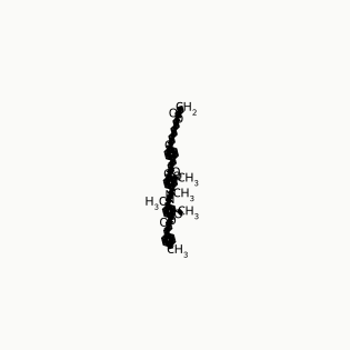 C=CC(=O)OCCCCCCOc1ccc(/C=C/C(=O)Oc2ccc(/C(C)=N/N=C(\C)c3ccc(OC(=O)/C=C/c4ccc(C)cc4)c(OC)c3)cc2OC)cc1